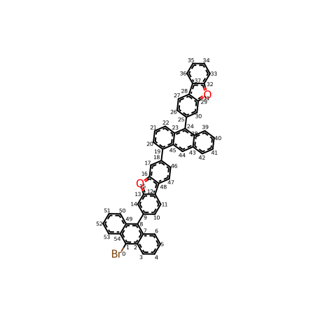 Brc1c2ccccc2c(-c2ccc3c(c2)oc2cc(-c4cccc5c(-c6ccc7c(c6)oc6ccccc67)c6ccccc6cc45)ccc23)c2ccccc12